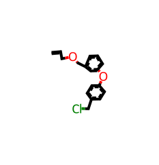 C=CCOCc1cccc(Oc2ccc(CCl)cc2)c1